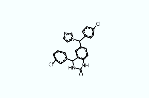 O=C1Nc2ccc(C(c3ccc(Cl)cc3)n3ccnc3)cc2C(c2cccc(Cl)c2)N1